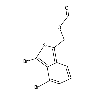 O=[C]OCc1sc(Br)c2c(Br)cccc12